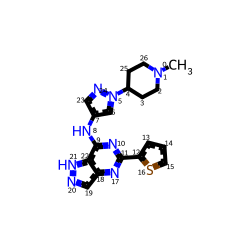 CN1CCC(n2cc(Nc3nc(-c4cccs4)nc4cn[nH]c34)cn2)CC1